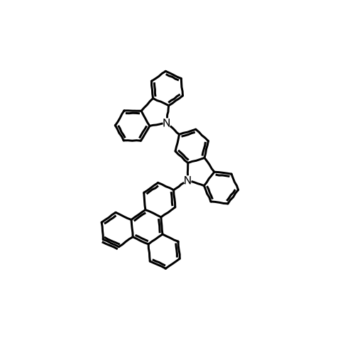 c1ccc2c(c#1)c1ccccc1c1cc(-n3c4ccccc4c4ccc(-n5c6ccccc6c6ccccc65)cc43)ccc21